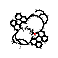 C[C@H]1CCC2C[C@H]3CCCC(C[C@@H](C1)C3)c1cc3ccccc3c3c1OP1(C)(O)N[PH]4(O)Oc5c(cc6ccccc6c5-c5c(c2cc2ccccc52)O4)C2CCCCC4CCCC(CCC(CC2)C4)Cc2cc4ccccc4c-3c2O1